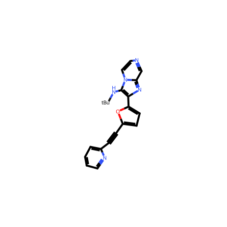 CC(C)(C)Nc1c(-c2ccc(C#Cc3ccccn3)o2)nc2cnccn12